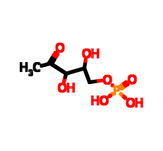 CC(=O)C(O)C(O)COP(=O)(O)O